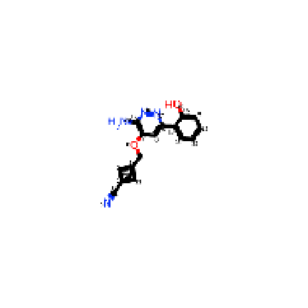 N#CC12CC(COc3cc(-c4ccccc4O)nnc3N)(C1)C2